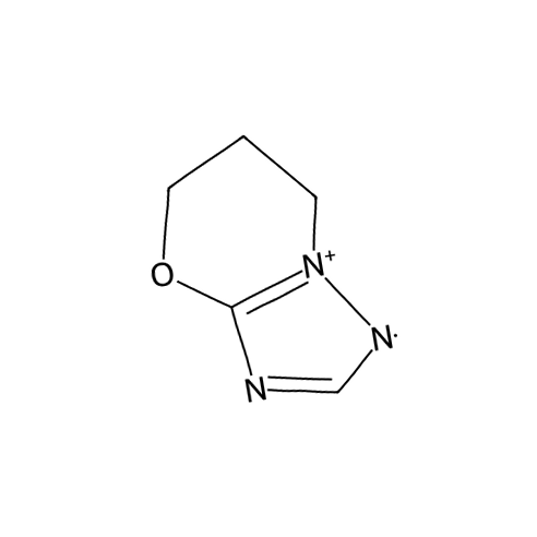 C1=NC2=[N+](CCCO2)[N]1